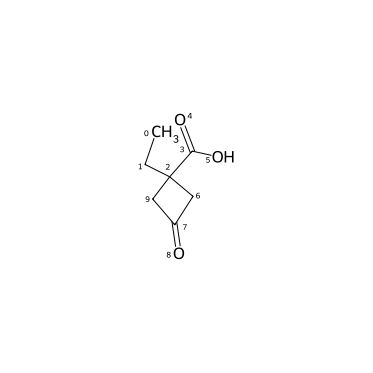 CCC1(C(=O)O)CC(=O)C1